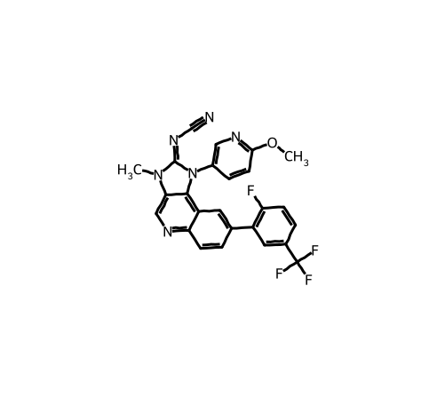 COc1ccc(-n2c(=NC#N)n(C)c3cnc4ccc(-c5cc(C(F)(F)F)ccc5F)cc4c32)cn1